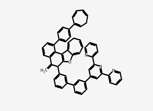 C=C1c2cccc(-c3ccc(C4=CCC=CC=C4)cc3)c2-c2c(oc3c2=CCC=CC=3)C1c1cccc(-c2cccc(-c3cc(-c4ccccn4)nc(-c4ccccn4)c3)c2)c1